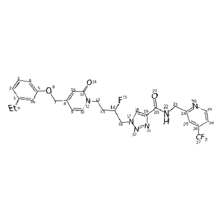 CCc1cccc(OCc2ccn(CCC(F)Cn3cc(C(=O)NCc4cc(C(F)(F)F)ccn4)nn3)c(=O)c2)c1